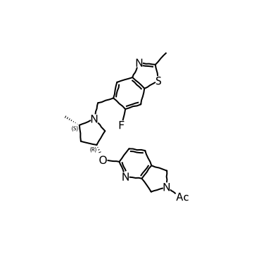 CC(=O)N1Cc2ccc(O[C@@H]3C[C@H](C)N(Cc4cc5nc(C)sc5cc4F)C3)nc2C1